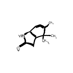 CC1=CC2=C(CC(=O)N2)C1(C)C